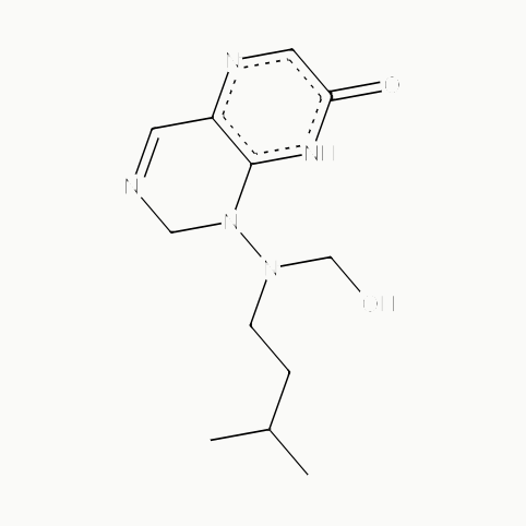 CC(C)CCN(CO)N1CN=Cc2ncc(=O)[nH]c21